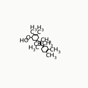 CC1=C(C)CC(C)(C(C)=C(C)C2(C)CC(C)=C(C)C(OO)C2)CC1